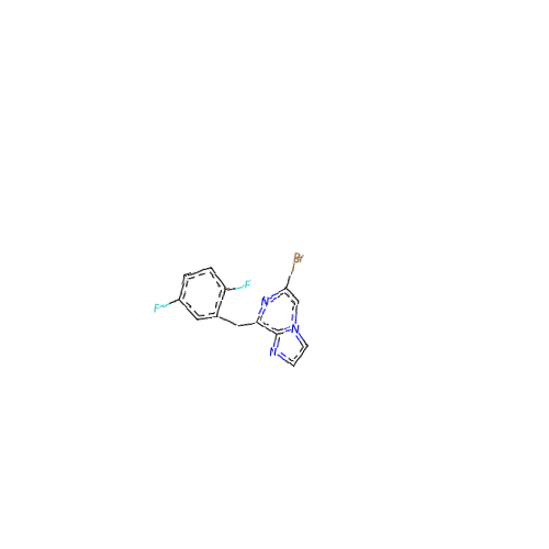 Fc1ccc(F)c(Cc2nc(Br)cn3ccnc23)c1